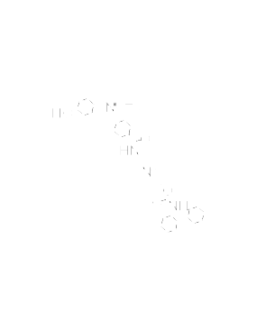 CN(Cc1ccc(O)cc1)Cc1ccc(C(=O)NCCN2CCC(OC(=O)Nc3ccccc3-c3ccccc3)CC2)cc1